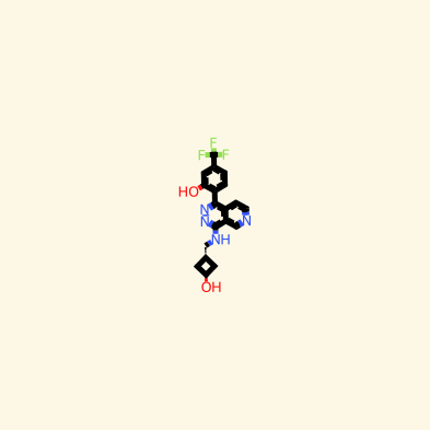 Oc1cc(C(F)(F)F)ccc1-c1nnc(NC[C@H]2C[C@H](O)C2)c2cnccc12